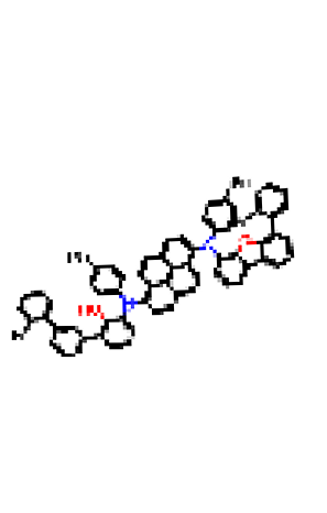 CC(C)c1ccccc1-c1cccc(-c2cccc(N(c3ccc(C(C)(C)C)cc3)c3ccc4ccc5c(N(c6ccc(C(C)(C)C)cc6)c6cccc7c6oc6c(-c8ccccc8C(C)C)cccc67)ccc6ccc3c4c65)c2O)c1